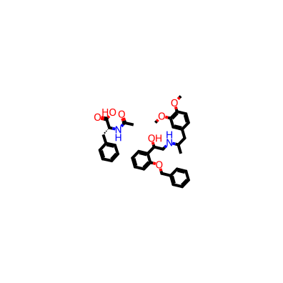 CC(=O)N[C@H](Cc1ccccc1)C(=O)O.COc1ccc(CC(C)NCC(O)c2ccccc2OCc2ccccc2)cc1OC